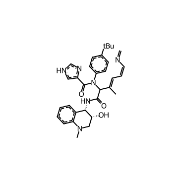 C=N/C=C\C=C(/C)C(C(=O)N[C@H]1c2ccccc2N(C)C[C@H]1O)N(C(=O)c1c[nH]cn1)c1ccc(C(C)(C)C)cc1